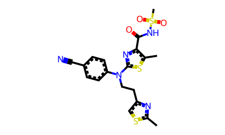 Cc1nc(CCN(c2ccc(C#N)cc2)c2nc(C(=O)NS(C)(=O)=O)c(C)s2)cs1